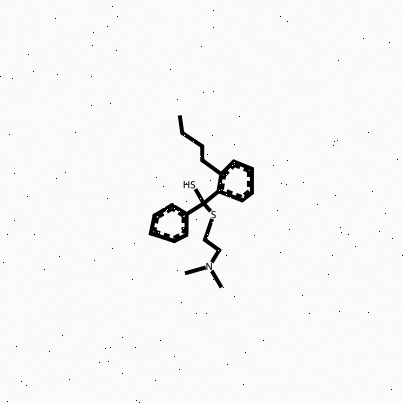 CCCCc1ccccc1C(S)(SCCN(C)C)c1ccccc1